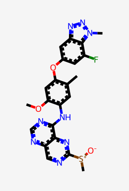 COc1cc(Oc2cc(F)c3c(c2)nnn3C)c(C)cc1Nc1ncnc2cnc([S+](C)[O-])nc12